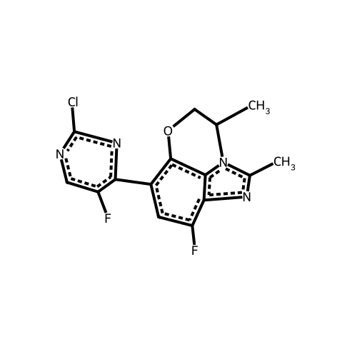 Cc1nc2c(F)cc(-c3nc(Cl)ncc3F)c3c2n1C(C)CO3